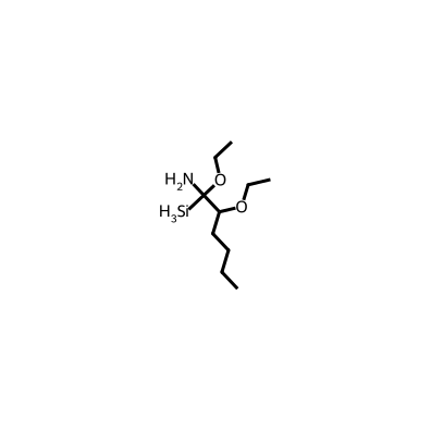 CCCCC(OCC)C(N)([SiH3])OCC